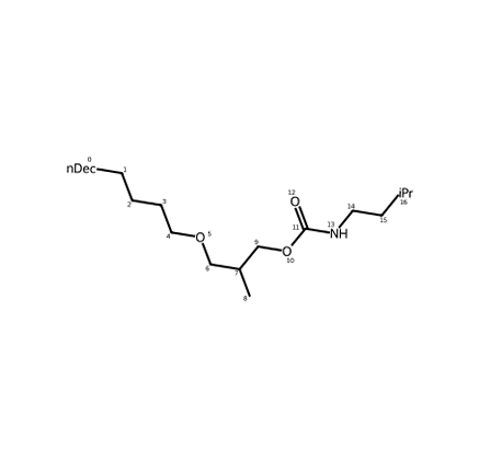 CCCCCCCCCCCCCCOCC(C)COC(=O)NCCC(C)C